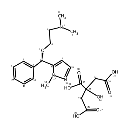 CN(C)CCO[C@H](c1ccccc1)c1ccnn1C.O=C(O)CC(O)(CC(=O)O)C(=O)O